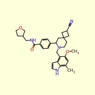 COc1cc(C)c2[nH]ccc2c1CN1CCC2(CC(C#N)C2)CC1c1ccc(C(=O)NCC2CCOC2)cc1